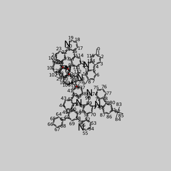 Cc1ccc2c3ccc(C)cc3n(-c3cc(-c4cccnc4-c4cccc(-c5cccc(CC(C)(C)c6ccc7c(c6)c6ccccc6n7-c6cc(-c7cccnc7-c7cccc(-c8ccccc8)c7)cc(-n7c8ccccc8c8cc(C(C)(C)C)ccc87)c6C#N)c5)c4)cc(-n4c5cc(C)ccc5c5ccc(C)cc54)c3C#N)c2c1